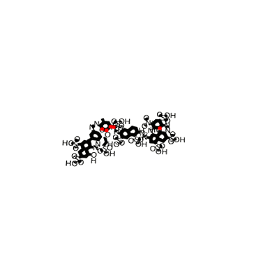 Cc1cc(N=Nc2c(S(=O)(=O)O)cc3c(S(=O)(=O)O)c(N=Nc4cc(S(=O)(=O)O)c5cc(S(=O)(=O)O)c(/N=N\c6ccc([N+](=O)[O-])cc6S(=O)(=O)O)c(O)c5c4N)ccc3c2O)c(OCCCS(=O)(=O)O)cc1/N=N\c1cc(C)c(/N=N\c2ccc(S(=O)(=O)O)c3cc(S(=O)(=O)O)cc(O)c23)cc1OCCCS(=O)(=O)O